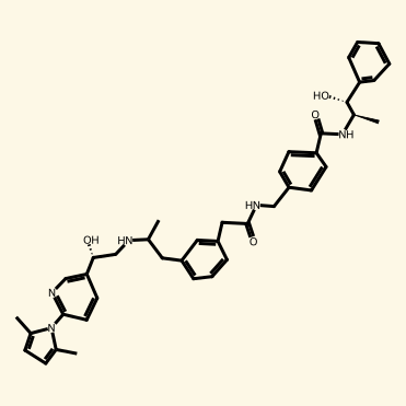 Cc1ccc(C)n1-c1ccc([C@H](O)CNC(C)Cc2cccc(CC(=O)NCc3ccc(C(=O)N[C@H](C)[C@H](O)c4ccccc4)cc3)c2)cn1